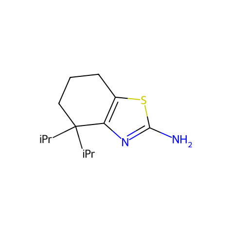 CC(C)C1(C(C)C)CCCc2sc(N)nc21